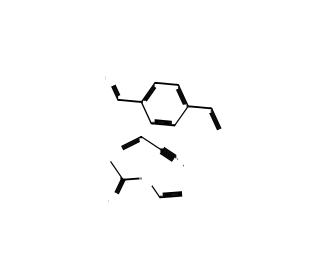 C=CC#N.C=COC(C)=O.C=Cc1ccc(C=O)cc1